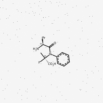 CC(C)[C@H](N)C(=O)N(c1ccccc1)[C@](C)(F)C(=O)O